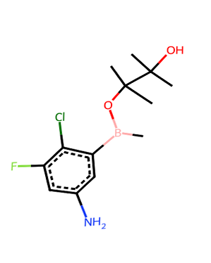 CB(OC(C)(C)C(C)(C)O)c1cc(N)cc(F)c1Cl